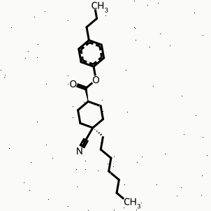 CCCCCCC[C@]1(C#N)CC[C@@H](C(=O)Oc2ccc(CCC)cc2)CC1